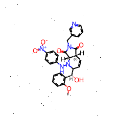 COc1ccccc1[C@@H](O)C1C=C[C@H]2C(=O)N(Cc3cccnc3)C(=O)[C@H]2N1Nc1ccc([N+](=O)[O-])cc1